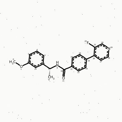 COc1cccc([C@@H](C)NC(=O)c2ccc(-c3ccncc3F)cc2)c1